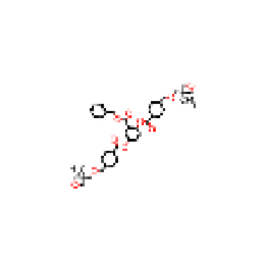 CC1(COCC2CCC(C(=O)Oc3ccc(OC(=O)C4CCC(COCC5(C)COC5)CC4)c(C(=O)OCc4ccccc4)c3)CC2)COC1